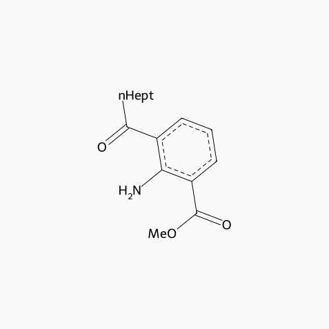 CCCCCCCC(=O)c1cccc(C(=O)OC)c1N